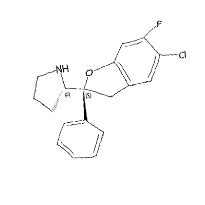 Fc1cc2c(cc1Cl)C[C@](c1ccccc1)([C@@H]1CCCN1)O2